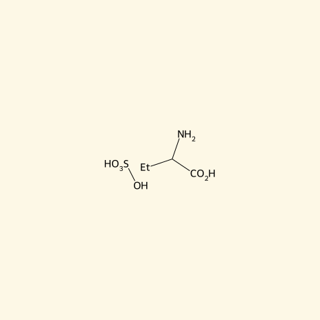 CCC(N)C(=O)O.O=S(=O)(O)O